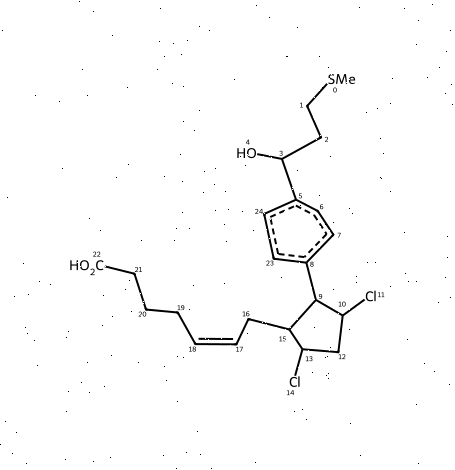 CSCCC(O)c1ccc(C2C(Cl)CC(Cl)C2C/C=C\CCCC(=O)O)cc1